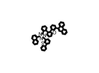 c1ccc(-c2cccc3oc4c(-c5cc6ccccc6c6ccccc56)cccc4c23)c(-c2nc(-c3cccc4ccccc34)nc(-c3cccc4c3sc3ccccc34)n2)c1